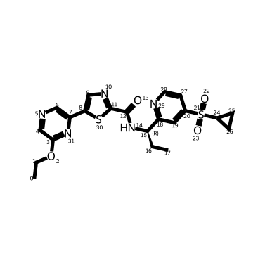 CCOc1cncc(-c2cnc(C(=O)N[C@H](CC)c3cc(S(=O)(=O)C4CC4)ccn3)s2)n1